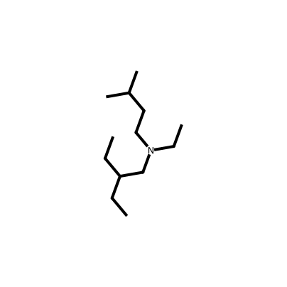 CCC(CC)CN(CC)CCC(C)C